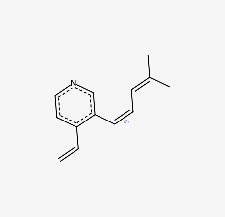 C=Cc1ccncc1/C=C\C=C(C)C